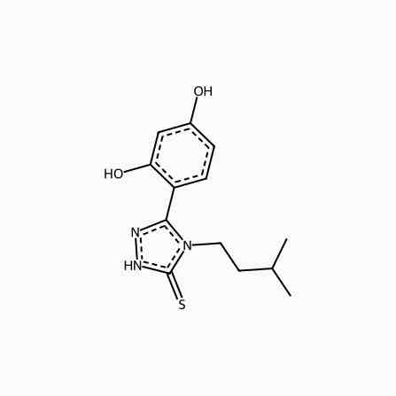 CC(C)CCn1c(-c2ccc(O)cc2O)n[nH]c1=S